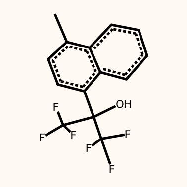 Cc1ccc(C(O)(C(F)(F)F)C(F)(F)F)c2ccccc12